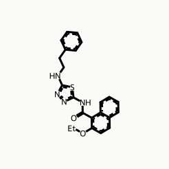 CCOc1ccc2ccccc2c1C(=O)Nc1nnc(NCCc2ccccc2)s1